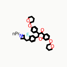 CCCN1CC(Cc2ccc(C3Oc4cc(OC5CCCCO5)ccc4C(=O)C3c3ccc(OC4CCCCO4)cc3)cc2F)C1